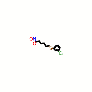 O=NC(=O)CCCCCSc1cccc(Cl)c1